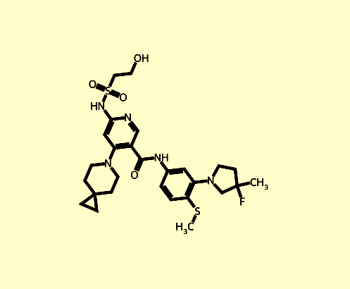 CSc1ccc(NC(=O)c2cnc(NS(=O)(=O)CCO)cc2N2CCC3(CC2)CC3)cc1N1CCC(C)(F)C1